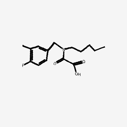 CCCCCN(Cc1ccc(F)c(C)c1)C(=O)C(=O)O